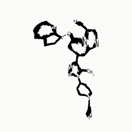 Cc1c(-c2cc(O[C@@H]3CCc4cccnc43)n3c(C#N)cnc3c2)nnn1C1CCN(C#N)CC1